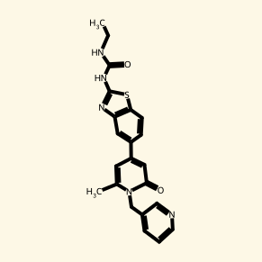 CCNC(=O)Nc1nc2cc(-c3cc(C)n(Cc4cccnc4)c(=O)c3)ccc2s1